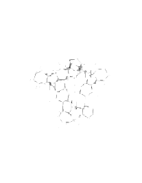 c1ccc(-n2c3ccccc3c3cc(-c4cccc5c6cccc7c8cc9c(cc8n(c45)c76)c4c5ccccc5cc5c6ccccc6n9c54)ccc32)cc1